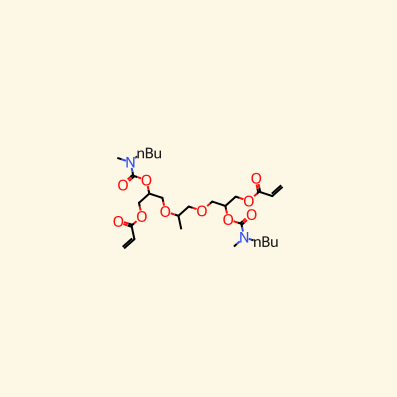 C=CC(=O)OCC(COCC(C)OCC(COC(=O)C=C)OC(=O)N(C)CCCC)OC(=O)N(C)CCCC